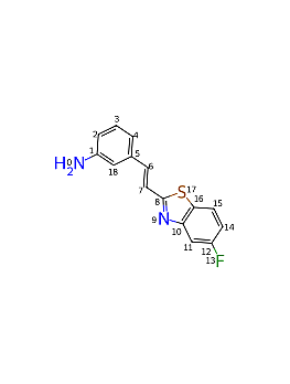 Nc1cccc(/C=C/c2nc3cc(F)ccc3s2)c1